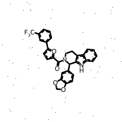 O=C(c1ccc(-c2cccc(C(F)(F)F)c2)o1)N1CCc2c([nH]c3ccccc23)C1c1ccc2c(c1)OCO2